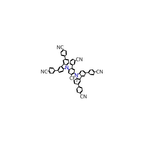 N#Cc1ccc(-c2ccc3c(c2)c2cc(-c4ccc(C#N)cc4)ccc2n3-c2cc(C(F)(F)F)c(-n3c4ccc(-c5ccc(C#N)cc5)cc4c4cc(-c5ccc(C#N)cc5)ccc43)cc2-c2cccc(C#N)c2)cc1